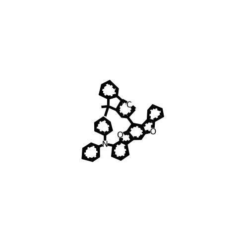 CC1(C)c2ccccc2-c2ccc(-c3c4oc5c(N(c6ccccc6)c6ccccc6)cccc5c4cc4oc5ccccc5c34)cc21